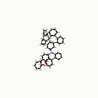 c1ccc(-c2ccccc2N(c2ccc3c(c2)-c2ccccc2-c2ccccc2C32c3ccccc3-c3ccccc32)c2ccc3c(c2)oc2ccccc23)cc1